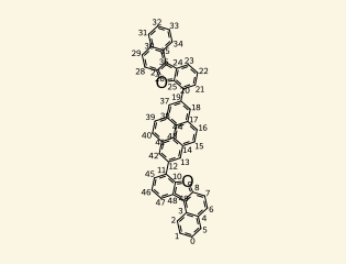 c1ccc2c(c1)ccc1oc3c(-c4cc5ccc6cc(-c7cccc8c7oc7ccc9ccccc9c78)cc7ccc(c4)c5c67)cccc3c12